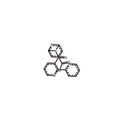 O=C(O)c1cc2nc(c1)N2C(=O)c1cccnc1-c1ccccn1